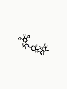 C=C(NC(=O)c1ccc(/C=C/C(c2cc(Cl)c(Cl)c(Cl)c2)C(F)(F)F)cc1Br)C(=O)NC(C)C(F)(F)F